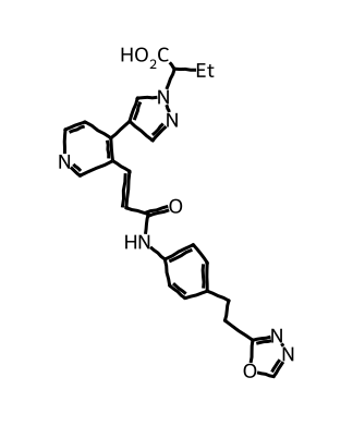 CCC(C(=O)O)n1cc(-c2ccncc2C=CC(=O)Nc2ccc(CCc3nnco3)cc2)cn1